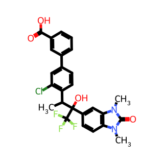 CC(c1ccc(-c2cccc(C(=O)O)c2)cc1Cl)C(O)(c1ccc2c(c1)n(C)c(=O)n2C)C(F)(F)F